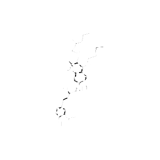 CCCCOc1c(OCC(C)CCC)c(=O)n(C)c2cc(NC(=O)/C=C/c3ccc(O)c(OC)c3)ccc12